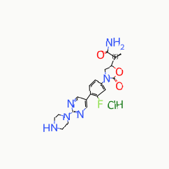 C[C@H](C(N)=O)C1CN(c2ccc(-c3cnc(N4CCNCC4)nc3)c(F)c2)C(=O)O1.Cl